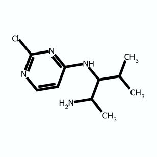 CC(C)C(Nc1ccnc(Cl)n1)C(C)N